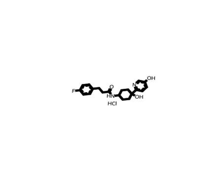 Cl.O=C(CCc1ccc(F)cc1)NC1CCC(O)(c2ccc(O)cn2)CC1